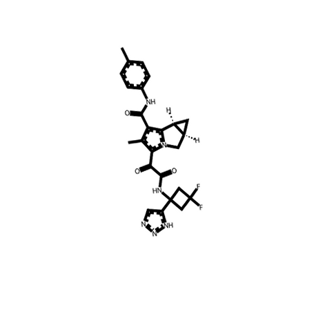 Cc1ccc(NC(=O)c2c(C)c(C(=O)C(=O)NC3(c4cnn[nH]4)CC(F)(F)C3)n3c2[C@H]2C[C@H]2C3)cc1